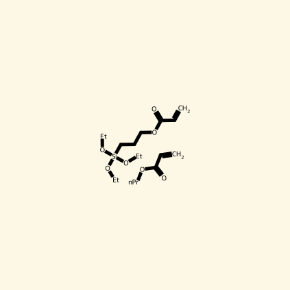 C=CC(=O)OCCC[Si](OCC)(OCC)OCC.[CH2]CCOC(=O)C=C